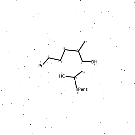 CC(C)CCCC(C)CO.CCCCCC(C)O